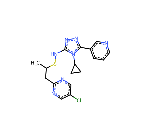 CC(Cc1ncc(Cl)cn1)SNc1nnc(-c2cccnc2)n1C1CC1